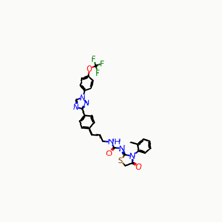 Cc1ccccc1N1C(=O)CS/C1=N\C(=O)NCCCc1ccc(-c2ncn(-c3ccc(OC(F)(F)F)cc3)n2)cc1